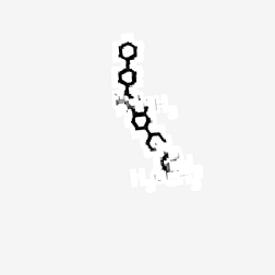 Cc1cc(C2=CCN(C(=O)OC(C)(C)C)CC2)ccc1-c1nnc(-c2ccc(C3=CCCCC3)cc2)o1